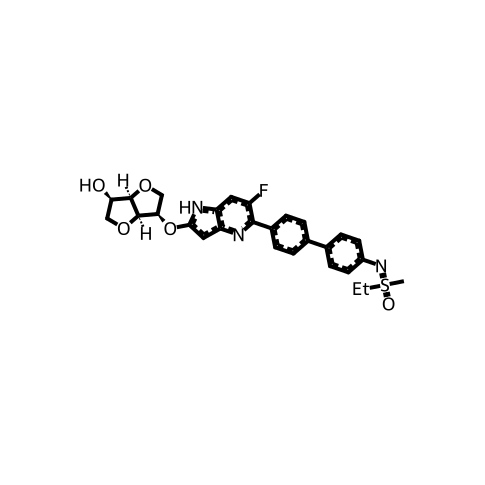 CCS(C)(=O)=Nc1ccc(-c2ccc(-c3nc4cc(O[C@@H]5CO[C@H]6[C@@H]5OC[C@H]6O)[nH]c4cc3F)cc2)cc1